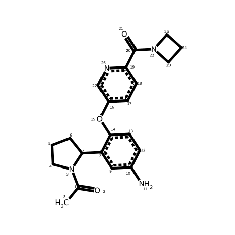 CC(=O)N1CCCC1c1cc(N)ccc1Oc1ccc(C(=O)N2CCC2)nc1